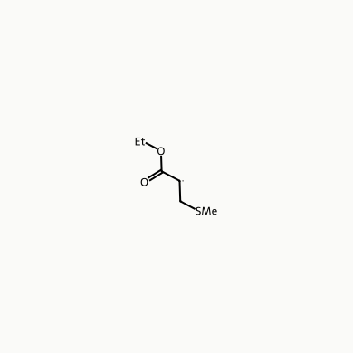 CCOC(=O)[CH]CSC